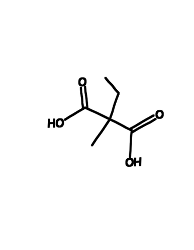 CCC(C)(C(=O)O)C(=O)O